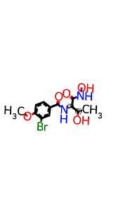 COc1ccc(C(=O)N[C@H](C(=O)NO)[C@@H](C)O)cc1Br